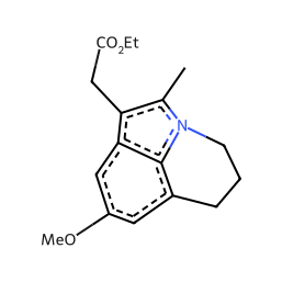 CCOC(=O)Cc1c(C)n2c3c(cc(OC)cc13)CCC2